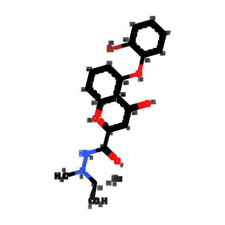 CC[C@H](C)[C@@H](C(=O)O)N(C)NC(=O)c1cc(=O)c2c(Oc3ccccc3Br)cccc2o1